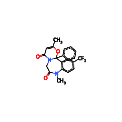 CC1=CC(=O)N2CC(=O)N(C)c3ccc(C(F)(F)F)cc3C2(c2ccccc2)O1